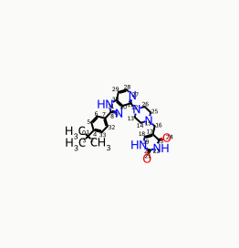 CC(C)(C)c1ccc(-c2nc3c(N4CCN(Cc5c[nH]c(=O)[nH]c5=O)CC4)nccc3[nH]2)cc1